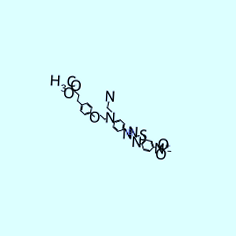 COC(=O)CCc1ccc(OCCN(CCC#N)c2ccc(/N=N/c3nc4ccc([N+](=O)[O-])cc4s3)cc2)cc1